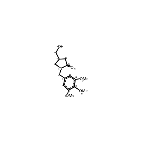 COc1cc(CN2CC(CO)CC2=O)cc(OC)c1OC